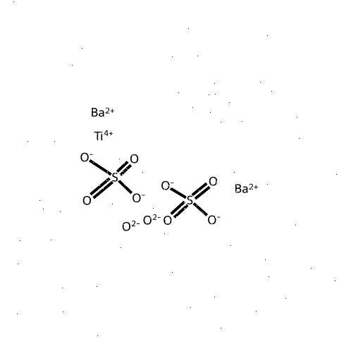 O=S(=O)([O-])[O-].O=S(=O)([O-])[O-].[Ba+2].[Ba+2].[O-2].[O-2].[Ti+4]